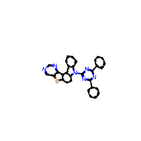 c1ccc(-c2nc(-c3ccccc3)nc(-n3c4ccccc4c4c5c(ccc43)sc3cncnc35)n2)cc1